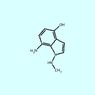 CNn1ccc2c(O)ccc(N)c21